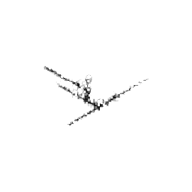 CCCCCCCCCCCCCCCOC(=O)CCCNCC(O)CN(CCCCCCCCCCCCCC)CCCCN(CCCCCCCCCCCCCC)CC(O)CN(CCCC=O)CCCC(=O)OCCCCCCCCCCCCCCC